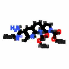 CN/N=C(\N)c1cc2c(nc1C)N(C(=O)OC(C)(C)C)C1(CC2)CCN(C(=O)OC(C)(C)C)C1